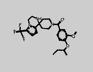 CCC(C)Oc1ccc(C(=O)N2CCC3(CC2)NCCn2c(C(F)(F)F)ccc23)cc1OC